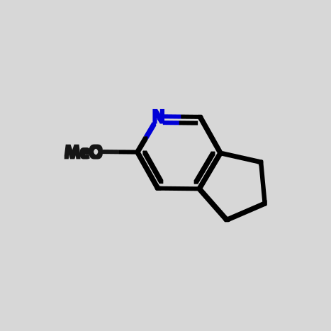 COc1cc2c(cn1)CCC2